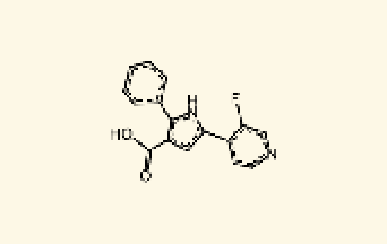 O=C(O)c1cc(-c2ccncc2F)[nH]c1-c1ccccc1